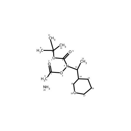 CC(=O)ON(C(=O)OC(C)(C)C)C(C)C1CCCOC1.N